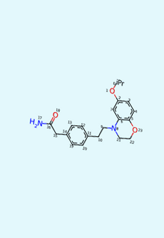 CC(C)Oc1ccc2c(c1)N(CCc1ccc(CC(N)=O)cc1)CCO2